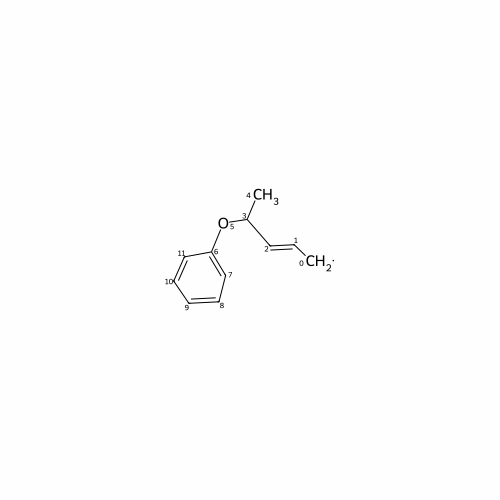 [CH2]C=CC(C)Oc1ccccc1